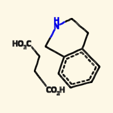 O=C(O)CCC(=O)O.c1ccc2c(c1)CCNC2